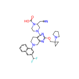 N#CCC1CN(c2nc(OCC3(N4CCCC4)CC3)nc3c2CCN(c2cc(C(F)F)cc4ccccc24)C3)CCN1C(=O)O